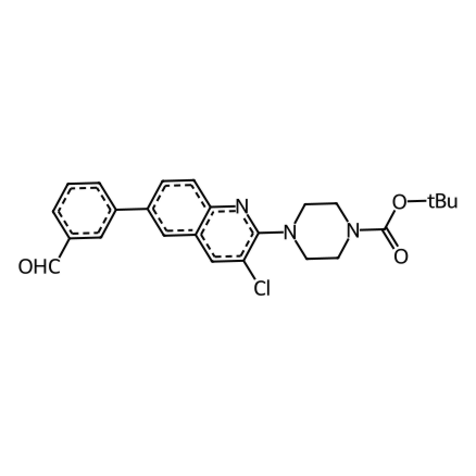 CC(C)(C)OC(=O)N1CCN(c2nc3ccc(-c4cccc(C=O)c4)cc3cc2Cl)CC1